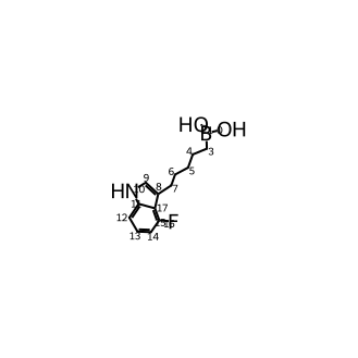 OB(O)CCCCCc1c[nH]c2cccc(F)c12